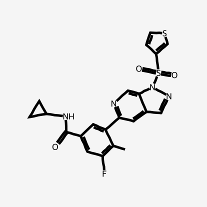 Cc1c(F)cc(C(=O)NC2CC2)cc1-c1cc2cnn(S(=O)(=O)c3ccsc3)c2cn1